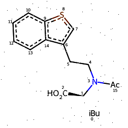 CC[C@H](C)[C@@H](C(=O)O)N(CCc1csc2ccccc12)C(C)=O